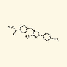 COC(=O)c1ccc(CN2CN(c3ccc([N+](=O)[O-])cc3)N=C2N)cc1